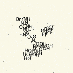 CCn1c(CNC(=O)c2nc3c(Br)c[nH]c3nc2N)[n+](CC)c2ccc(C(=O)N3CCC(N(C[C@H](O)[C@@H](O)[C@H](O)[C@H](O)CO)C[C@H](O)[C@@H](O)[C@H](O)[C@H](O)CO)CC3)cc21.O=C(O)C(F)(F)F.O=C([O-])C(F)(F)F